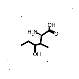 CCC(O)C(C)[C@@H](N)C(=O)O